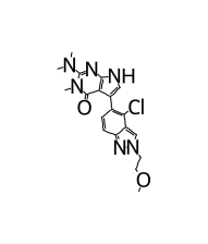 COCCn1cc2c(Cl)c(-c3c[nH]c4nc(N(C)C)n(C)c(=O)c34)ccc2n1